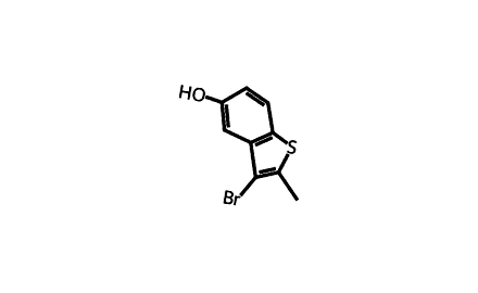 Cc1sc2ccc(O)cc2c1Br